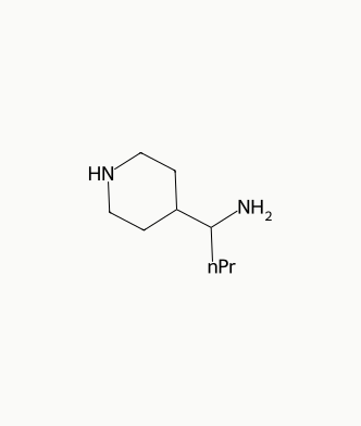 CCCC(N)C1CCNCC1